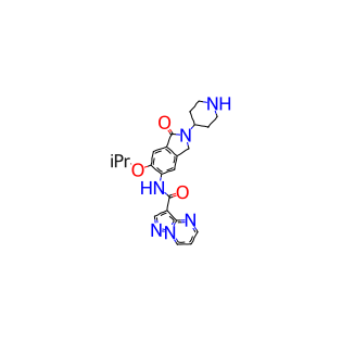 CC(C)Oc1cc2c(cc1NC(=O)c1cnn3cccnc13)CN(C1CCNCC1)C2=O